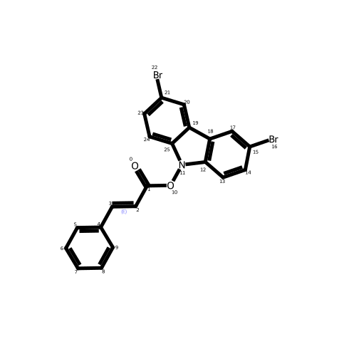 O=C(/C=C/c1ccccc1)On1c2ccc(Br)cc2c2cc(Br)ccc21